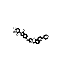 O=C1CCC(N2Cc3cc(OC4CCN(Cc5ccc6nc(C7CCOCC7)ccc6c5F)C4)ccc3C2=O)C(=O)N1